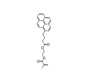 C=C(C)C(=O)OCCOC(=O)CCCc1ccc2ccc3cccc4ccc1c2c34